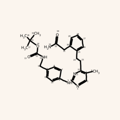 Cc1cnc(Nc2ccc(CNC(=O)OC(C)(C)C)cc2)nc1CCc1ccccc1CC(N)=O